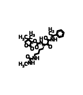 CNC(=O)NCCCC[C@H](NC(=O)O[C@@H]1C(=O)OCC1(C)C)C(=O)C(=O)N[C@H](C)c1ccccc1